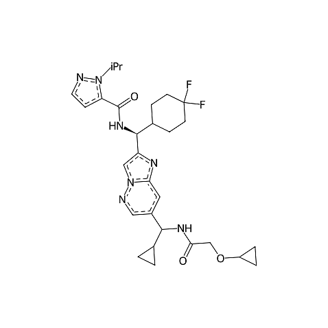 CC(C)n1nccc1C(=O)N[C@H](c1cn2ncc(C(NC(=O)COC3CC3)C3CC3)cc2n1)C1CCC(F)(F)CC1